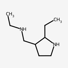 CCNCC1CCNC1CC